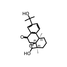 CC(C)(O)c1ccc2c(c1)C(=O)C[C@H]1[C@](C)(C(=O)O)CCC[C@]21C